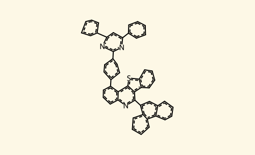 c1ccc(-c2cc(-c3ccccc3)nc(-c3ccc(-c4cccc5nc(-c6cc7ccccc7c7ccccc67)c6c7ccccc7sc6c45)cc3)n2)cc1